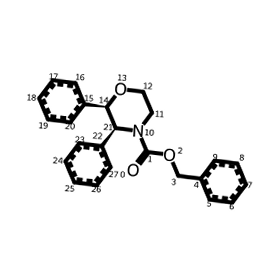 O=C(OCc1ccccc1)N1CCO[C@H](c2ccccc2)[C@@H]1c1ccccc1